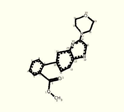 COC(=O)c1ccccc1-c1ccc2ncc(N3CCOCC3)nc2c1